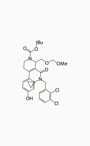 COCOCC1C(C(=O)N(Cc2cccc(Cl)c2Cl)C2CC2)=C(c2ccc(O)cc2)CCN1C(=O)OC(C)(C)C